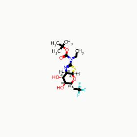 CCN(C(=O)OC(C)(C)C)C1=N[C@@H]2[C@@H](O)[C@H](O)[C@@H](CC(F)(F)F)O[C@@H]2S1